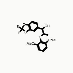 COc1cccc(OC)c1OC(C)C(O)c1ccc2c(c1)OC(F)(F)O2